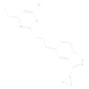 CSc1cc(N)nc(SCCc2cc3c(C4CC4)csc3cn2)n1